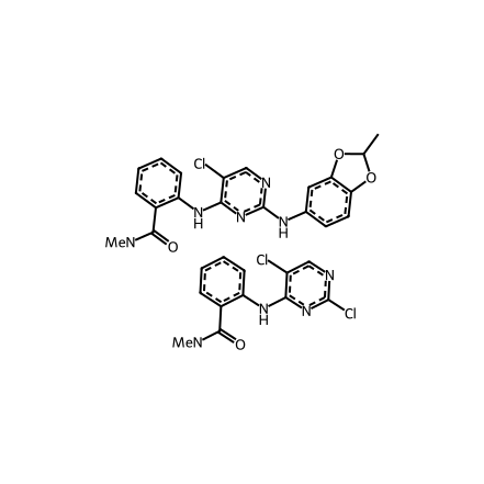 CNC(=O)c1ccccc1Nc1nc(Cl)ncc1Cl.CNC(=O)c1ccccc1Nc1nc(Nc2ccc3c(c2)OC(C)O3)ncc1Cl